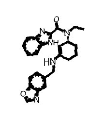 CCN(C(=O)c1nc2ccccc2[nH]1)[C@@H]1C=C(NCc2ccc3ocnc3c2)CCC1